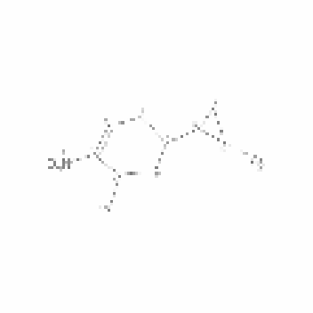 CC(=O)[C@H]1CC1C1CC=C([N+](=O)[O-])C(C)C1